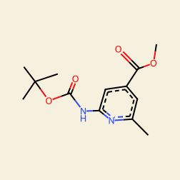 COC(=O)c1cc(C)nc(NC(=O)OC(C)(C)C)c1